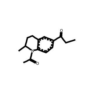 CCC(=O)c1ccc2c(c1)CCC(C)N2C(C)=O